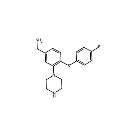 NCc1ccc(Sc2ccc(F)cc2)c(N2CCNCC2)c1